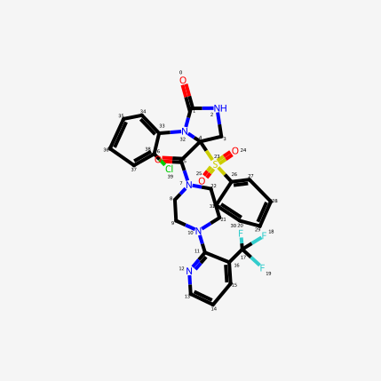 O=C1NCC(C(=O)N2CCN(c3ncccc3C(F)(F)F)CC2)(S(=O)(=O)c2ccccc2)N1c1ccccc1Cl